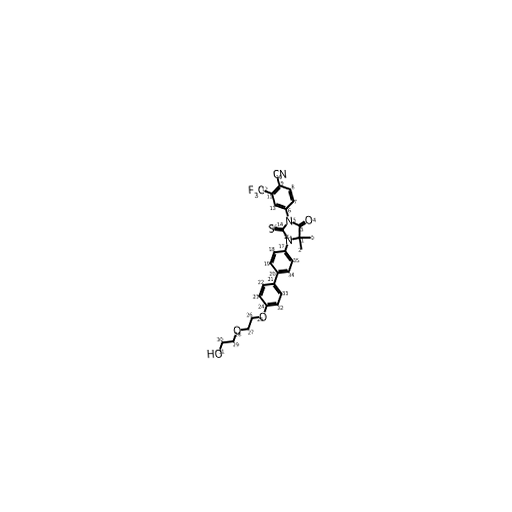 CC1(C)C(=O)N(c2ccc(C#N)c(C(F)(F)F)c2)C(=S)N1c1ccc(-c2ccc(OCCOCCO)cc2)cc1